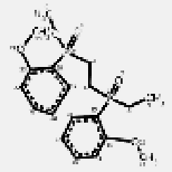 CCP(=O)(CCP(=O)(CC)c1ccccc1OC)c1ccccc1OC